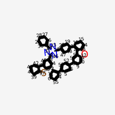 c1ccc(-c2ccc(-c3ccc4oc5cccc(-c6ccc(-c7nc(-c8ccccc8)nc(-c8ccc9sc%10ccccc%10c9c8)n7)cc6)c5c4c3)cc2)cc1